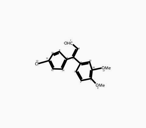 COc1ccc(C(=C[C]=O)c2ccc(Cl)cc2)cc1OC